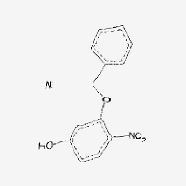 O=[N+]([O-])c1ccc(O)cc1OCc1ccccc1.[N]